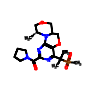 C[C@@H]1COCC2COc3c(nc(C(=O)N4CCCC4)nc3C(C)(C)S(C)(=O)=O)N21